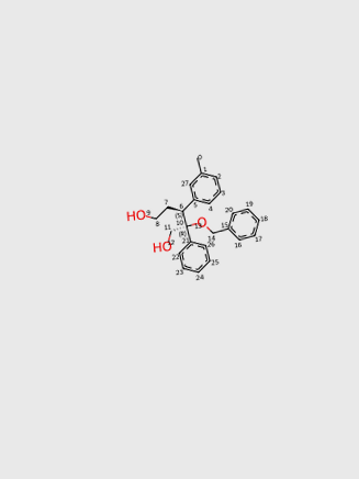 Cc1cccc([C@H](CCO)[C@@](CO)(OCc2ccccc2)c2ccccc2)c1